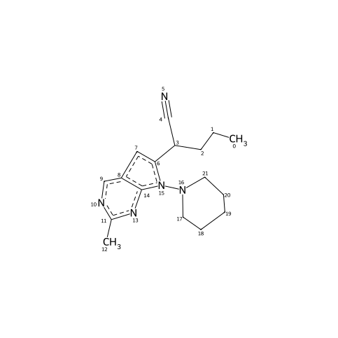 CCCC(C#N)c1cc2cnc(C)nc2n1N1CCCCC1